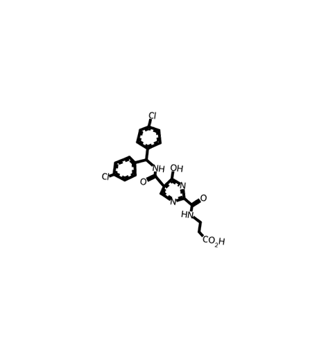 O=C(O)CCNC(=O)c1ncc(C(=O)NC(c2ccc(Cl)cc2)c2ccc(Cl)cc2)c(O)n1